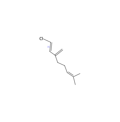 C=C(/C=C/Cl)CCC=C(C)C